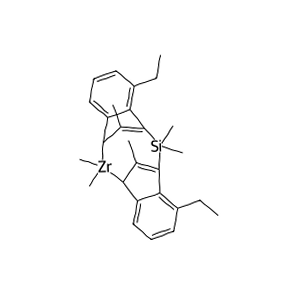 CCc1cccc2c1C1=C(C)[CH]2[Zr]([CH3])([CH3])[CH]2C(C)=C(c3c(CC)cccc32)[Si]1(C)C